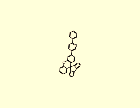 c1ccc(-c2ccc(-c3ccc4c(c3)Oc3ccccc3C43c4ccccc4-c4ccccc43)cn2)cc1